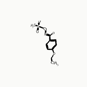 CCOc1ccc(/C(Cl)=N/OS(C)(=O)=O)cc1